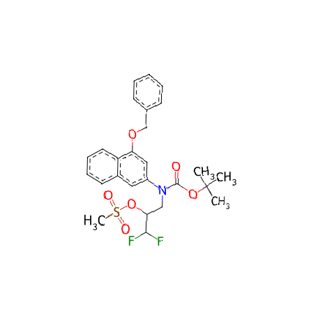 CC(C)(C)OC(=O)N(CC(OS(C)(=O)=O)C(F)F)c1cc(OCc2ccccc2)c2ccccc2c1